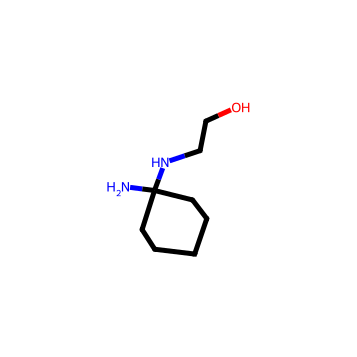 NC1(NCCO)CCCCC1